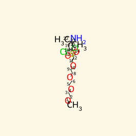 COCCOCCOCCOCCS(=O)(=O)C(Cl)(Cl)CC(C)(C)N